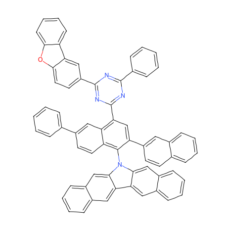 c1ccc(-c2ccc3c(-n4c5cc6ccccc6cc5c5cc6ccccc6cc54)c(-c4ccc5ccccc5c4)cc(-c4nc(-c5ccccc5)nc(-c5ccc6oc7ccccc7c6c5)n4)c3c2)cc1